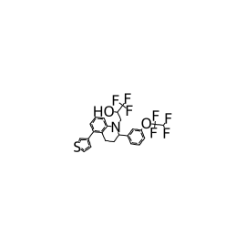 OC(CN1c2cccc(-c3ccsc3)c2CCC1c1cccc(OC(F)(F)C(F)F)c1)C(F)(F)F